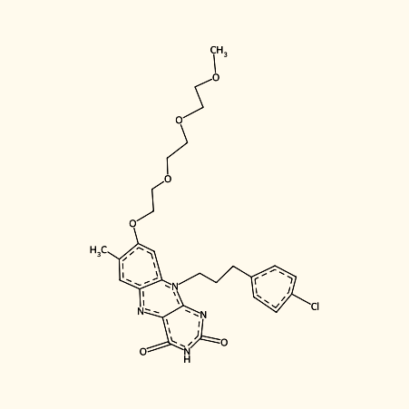 COCCOCCOCCOc1cc2c(cc1C)nc1c(=O)[nH]c(=O)nc-1n2CCCc1ccc(Cl)cc1